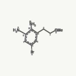 COCCc1cc(Br)cc(N)c1N